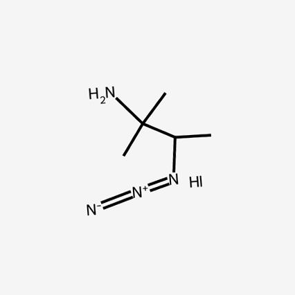 CC(N=[N+]=[N-])C(C)(C)N.I